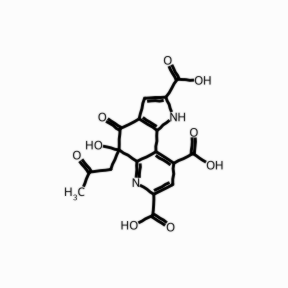 CC(=O)CC1(O)C(=O)c2cc(C(=O)O)[nH]c2-c2c(C(=O)O)cc(C(=O)O)nc21